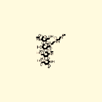 CO[C@H]1CC(C(=O)O)O[C@@H](O[C@@H]2C(NC(C)=O)[C@H](O[C@@H]3C(C(=O)NCCNC(=O)CCSSC)O[C@@H](O[C@@H]4C(NC(C)=O)[C@H](C)OC(CO)[C@H]4O)C(O)[C@H]3O)OC(CO)[C@H]2O)C1O